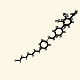 CCCCCCCC[C@H]1CC[C@H](CCC2CCC(c3ccc(C#N)c(F)c3F)CC2)CC1